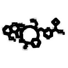 COc1c2nc(nc1-c1c(C)cccc1C)N[S+]([O-])c1cccc(c1)CC(Cc1cncc(N(C)C3CCC3)n1)[C@H](CC(C)(C)C)CC2